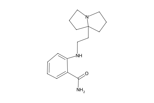 NC(=O)c1ccccc1NCCC12CCCN1CCC2